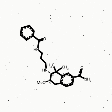 CO[C@@H]1Cc2ccc(C(N)=O)cc2C(C)(C)[C@H]1NCCCNC(=O)c1ccccc1